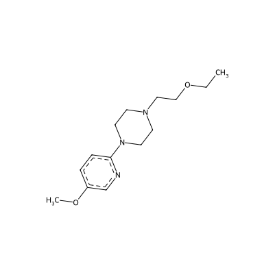 CCOCCN1CCN(c2ccc(OC)cn2)CC1